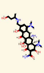 CC(CCO)NCc1cc(N(C)C)c2c(c1O)C(=O)C1=C(O)[C@]3(O)C(=O)C(C(N)=O)=C(O)C(N(C)C)[C@@H]3C[C@]1(N)C2